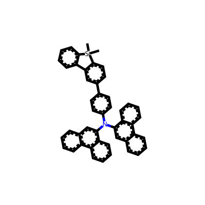 C[Si]1(C)c2ccccc2-c2cc(-c3ccc(N(c4cc5ccccc5c5ccccc45)c4cc5ccccc5c5ccccc45)cc3)ccc21